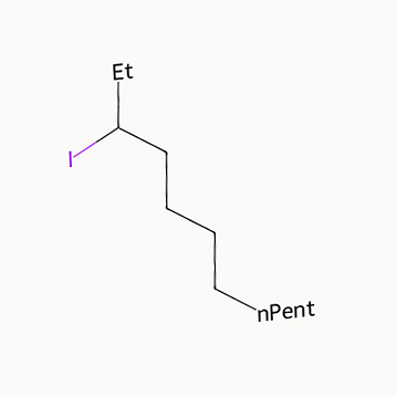 CCCCCCCCCC(I)CC